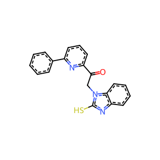 O=C(Cn1c(S)nc2ccccc21)c1cccc(-c2ccccc2)n1